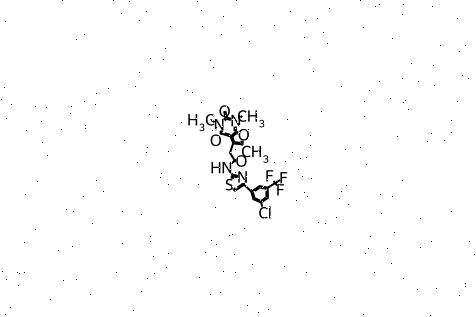 Cc1oc2c(c1CC(=O)Nc1nc(-c3cc(Cl)cc(C(F)(F)F)c3)cs1)c(=O)n(C)c(=O)n2C